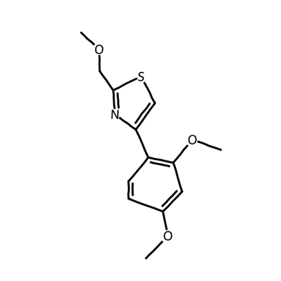 COCc1nc(-c2ccc(OC)cc2OC)cs1